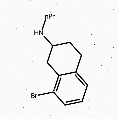 CCCNC1CCc2cccc(Br)c2C1